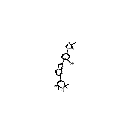 Cc1ncn(-c2ccc(-c3cn4ccc(C5=CC(C)(C)NC(C)(C)C5)nc4n3)c(O)c2)n1